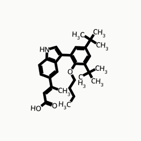 CCCCOc1c(-c2c[nH]c3ccc(C(C)=CC(=O)O)cc23)cc(C(C)(C)C)cc1C(C)(C)C